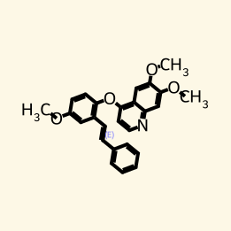 COc1ccc(Oc2ccnc3cc(OC)c(OC)cc23)c(/C=C/c2ccccc2)c1